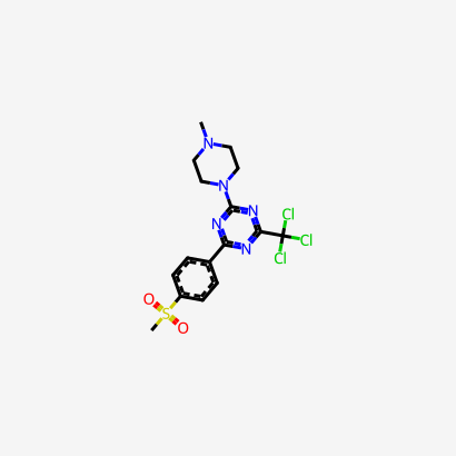 CN1CCN(c2nc(-c3ccc(S(C)(=O)=O)cc3)nc(C(Cl)(Cl)Cl)n2)CC1